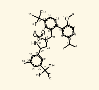 COc1ccc(C(C)C)cc1-c1ccc(C(F)(F)F)cc1CN1CC(c2cc(C)cc(C(F)(F)F)c2)NS1(=O)=O